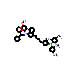 COc1c#cc(N(/C=C(\C2=CC=CCC2)c2ccccc2)c2ccc(/C=C/C=C/c3ccc(N(c4ccc(C)cc4C)c4ccc(C)cc4C)cc3)c3ccccc23)cc1